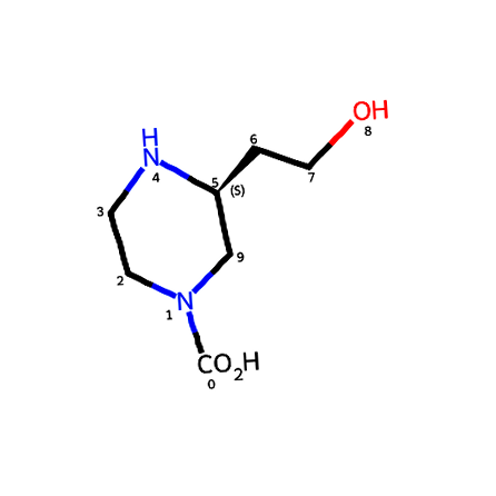 O=C(O)N1CCN[C@@H](CCO)C1